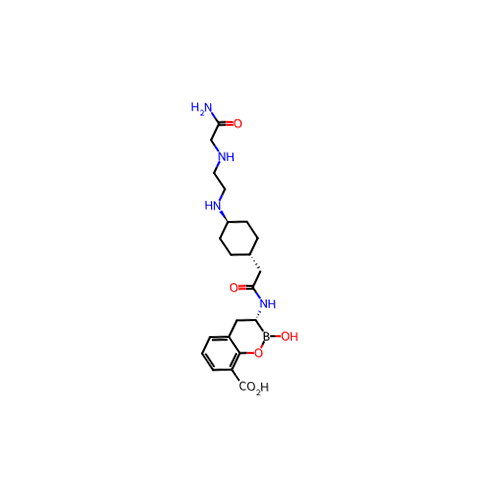 NC(=O)CNCCN[C@H]1CC[C@H](CC(=O)N[C@H]2Cc3cccc(C(=O)O)c3OB2O)CC1